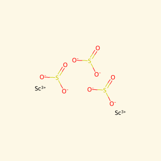 O=S([O-])[O-].O=S([O-])[O-].O=S([O-])[O-].[Sc+3].[Sc+3]